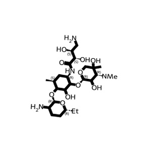 CC[C@@H]1CCC(N)[C@@H](OC2C(O)C(O[C@H]3OCC(C)(O)[C@H](NC)C3O)[C@H](NC(=O)[C@@H](O)[C@@H](O)CN)C[C@@H]2C)O1